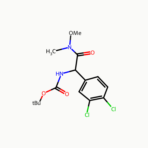 CON(C)C(=O)C(NC(=O)OC(C)(C)C)c1ccc(Cl)c(Cl)c1